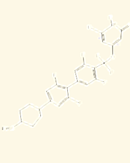 C=C(F)/C=C(\C=C(\F)CF)OC(F)(F)c1c(F)cc(-c2c(F)cc(C3CCC(CCCCC)CC3)cc2F)cc1F